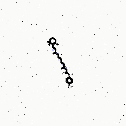 CC1=C(/C=C/C(C)=C/C=C/C=C/C(C)=C/C(=O)Nc2ccc(O)cc2)C(C)(C)CCC1